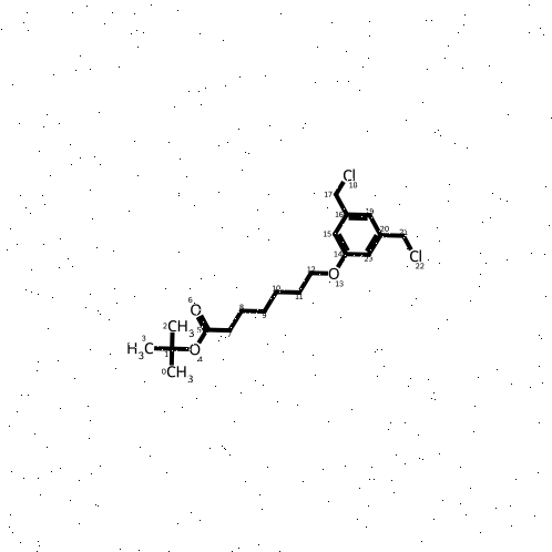 CC(C)(C)OC(=O)CCCCCCOc1cc(CCl)cc(CCl)c1